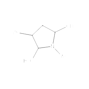 CC(=O)N1C(C)CC(C(C)C)C1C